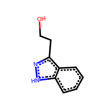 OCCc1n[nH]c2ccccc12